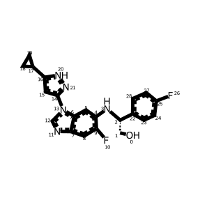 OC[C@H](Nc1cc2c(cc1F)ncn2-c1cc(C2CC2)[nH]n1)c1ccc(F)cc1